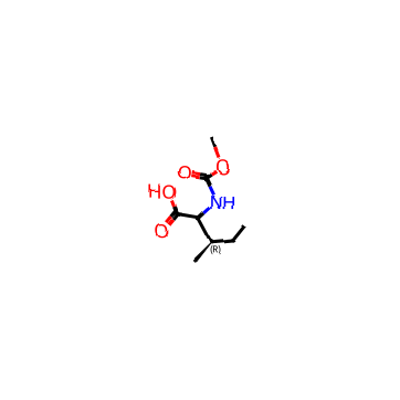 CC[C@@H](C)C(NC(=O)OC)C(=O)O